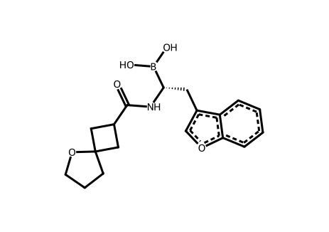 O=C(N[C@@H](Cc1coc2ccccc12)B(O)O)C1CC2(CCCO2)C1